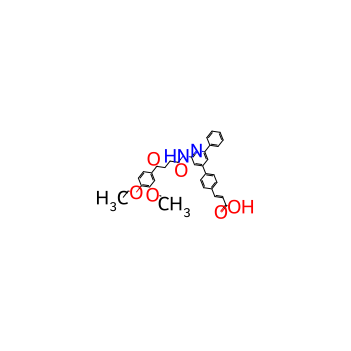 CCOc1ccc(C(=O)CCC(=O)Nc2cc(-c3ccc(/C=C/C(=O)O)cc3)cc(-c3ccccc3)n2)cc1OCC